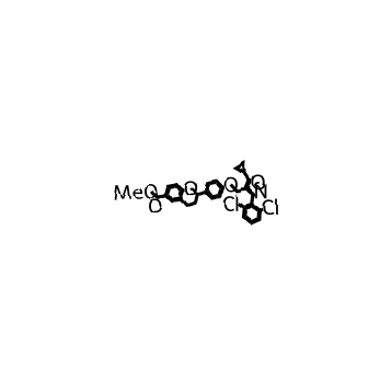 COC(=O)c1ccc2c(c1)CCC(c1ccc(OCc3c(-c4c(Cl)cccc4Cl)noc3C3CC3)cc1)O2